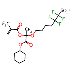 C=C(C(=O)OC(OCCCCC(F)(F)C(F)(F)S(=O)(=O)O)(C(=O)OC1CCCCC1)C(F)(F)F)C(F)(F)F